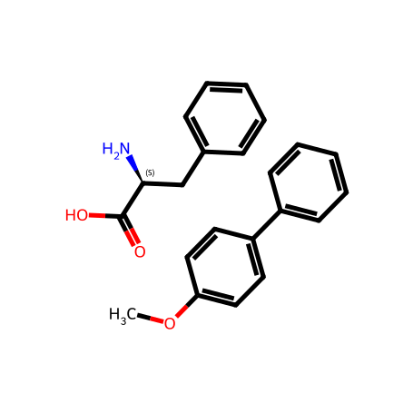 COc1ccc(-c2ccccc2)cc1.N[C@@H](Cc1ccccc1)C(=O)O